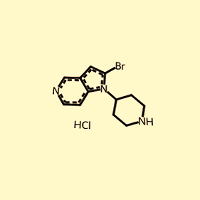 Brc1cc2cnccc2n1C1CCNCC1.Cl